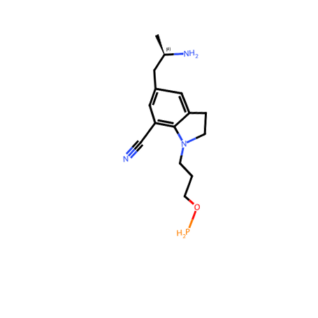 C[C@@H](N)Cc1cc(C#N)c2c(c1)CCN2CCCOP